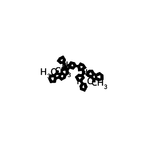 CC1(C)c2ccccc2-c2ccc(N(c3cccc(-c4ccccc4)c3)c3cccc(-c4ccc5c(c4)c4cc6ccc7c(c6cc4n5-c4ccccc4)C(C)(C)c4ccccc4-7)c3)cc21